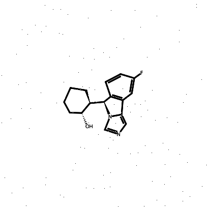 O[C@@H]1CCCC[C@H]1[C@H]1c2ccc(F)cc2-c2cncn21